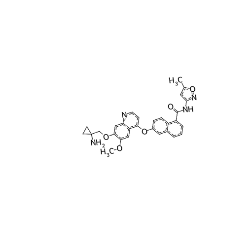 COc1cc2c(Oc3ccc4c(C(=O)Nc5cc(C)on5)cccc4c3)ccnc2cc1OCC1(N)CC1